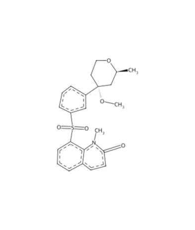 CO[C@]1(c2cccc(S(=O)(=O)c3cccc4ccc(=O)n(C)c34)c2)CCO[C@@H](C)C1